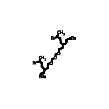 CCCCC=CC(CCOCOCOCCC(C=CCCCC)CCC(C)Br)CCC(C)Br